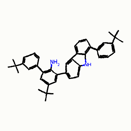 CC(C)(C)c1cccc(-c2cc(C(C)(C)C)cc(-c3ccc4[nH]c5c(-c6cccc(C(C)(C)C)c6)cccc5c4c3)c2N)c1